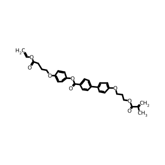 C=COC(=O)CCCOc1ccc(OC(=O)c2ccc(-c3ccc(OCCCOC(=O)C(=C)C)cc3)cc2)cc1